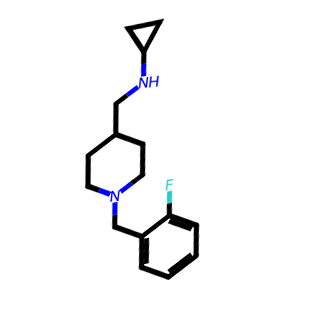 Fc1ccccc1CN1CCC(CNC2CC2)CC1